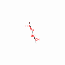 CCCCC(O)CCCOC(=O)CCCCC(=O)OCCCC(O)CCCC